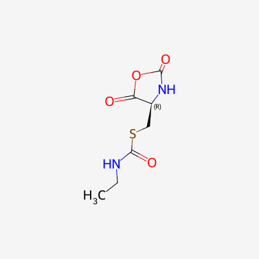 CCNC(=O)SC[C@@H]1NC(=O)OC1=O